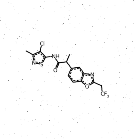 Cc1nsc(NC(=O)C(C)c2ccc3oc(CC(F)(F)F)nc3c2)c1Cl